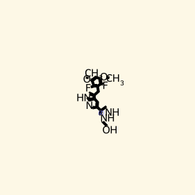 COc1cc(OC)c(F)c(Cc2c[nH]c3ncc(/C(C=N)=C/NCCO)cc23)c1F